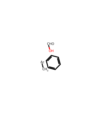 CC(C)=O.O=CO.c1ccccc1